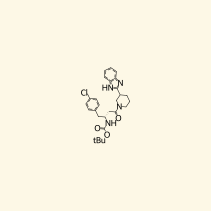 CC(C)(C)OC(=O)N[C@@H](CC(=O)N1CCCC(c2nc3ccccc3[nH]2)C1)Cc1ccc(Cl)cc1